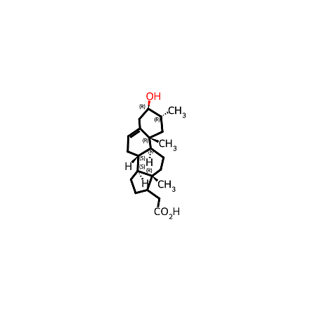 C[C@@H]1C[C@@]2(C)C(=CC[C@@H]3[C@@H]2CC[C@]2(C)C(CC(=O)O)CC[C@@H]32)C[C@H]1O